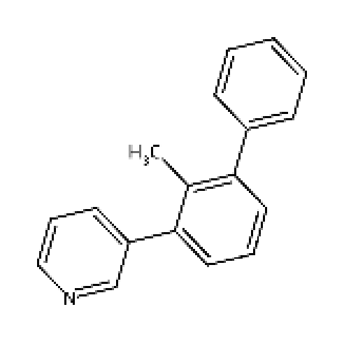 Cc1c(-c2ccccc2)cccc1-c1cccnc1